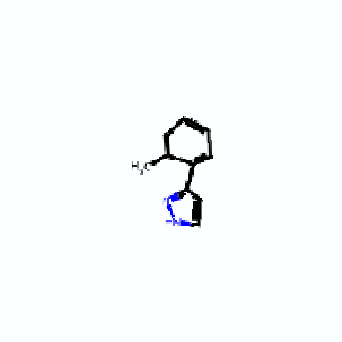 CC1CC=CC=C1c1cc[nH]n1